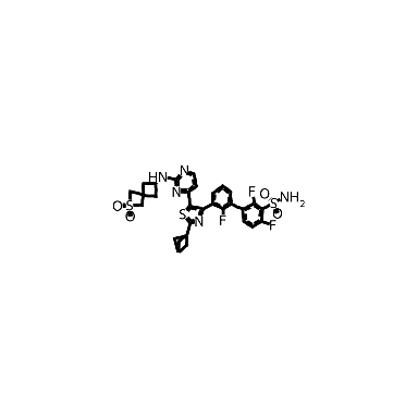 NS(=O)(=O)c1c(F)ccc(-c2cccc(-c3nc(C45CC(C4)C5)sc3-c3ccnc(NC4CC5(C4)CS(=O)(=O)C5)n3)c2F)c1F